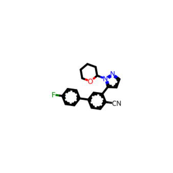 N#Cc1ccc(-c2ccc(F)cc2)cc1-c1ccnn1C1CCCCO1